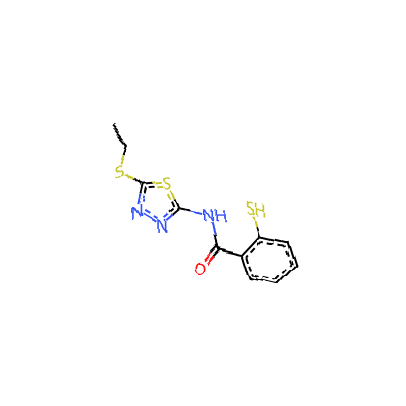 CCSc1nnc(NC(=O)c2ccccc2S)s1